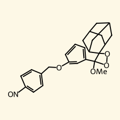 COC1(c2cccc(OCc3ccc(N=O)cc3)c2)OOC12C1CC3CC(C1)CC2C3